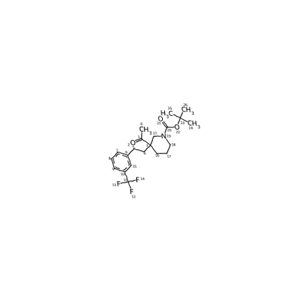 CC(=O)C1(CCc2cccc(C(F)(F)F)c2)CCCN(C(=O)OC(C)(C)C)C1